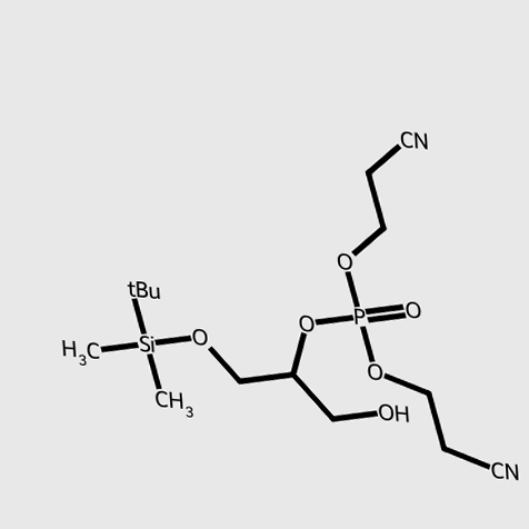 CC(C)(C)[Si](C)(C)OCC(CO)OP(=O)(OCCC#N)OCCC#N